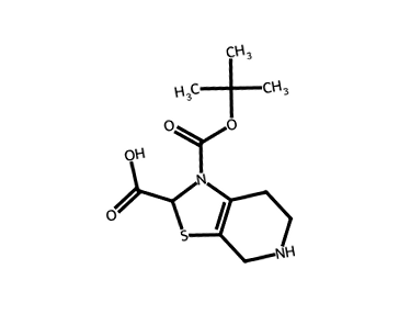 CC(C)(C)OC(=O)N1C2=C(CNCC2)SC1C(=O)O